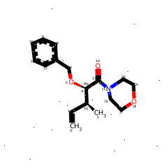 C=C[C@H](C)[C@@H](OCc1ccccc1)C(=O)N1CCOCC1